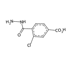 NNC(=O)c1ccc(C(=O)O)cc1Cl